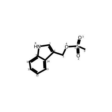 CS(=O)(=O)OCc1c[nH]c2ccccc12